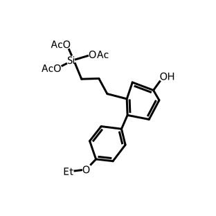 CCOc1ccc(-c2ccc(O)cc2CCC[Si](OC(C)=O)(OC(C)=O)OC(C)=O)cc1